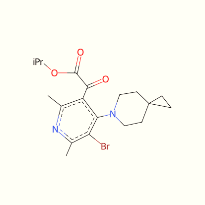 Cc1nc(C)c(C(=O)C(=O)OC(C)C)c(N2CCC3(CC2)CC3)c1Br